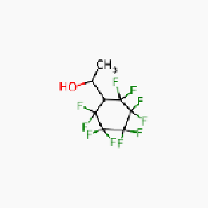 CC(O)C1C(F)(F)C(F)(F)C(F)(F)C(F)(F)C1(F)F